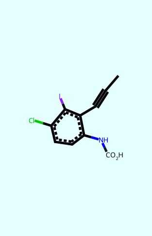 CC#Cc1c(NC(=O)O)ccc(Cl)c1I